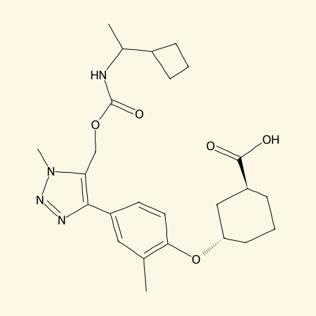 Cc1cc(-c2nnn(C)c2COC(=O)NC(C)C2CCC2)ccc1O[C@H]1CCC[C@H](C(=O)O)C1